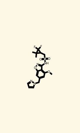 COc1cc(Cn2cccn2)cc2onc(NS(=O)(=O)CC3C(C)(C)C3(F)F)c12